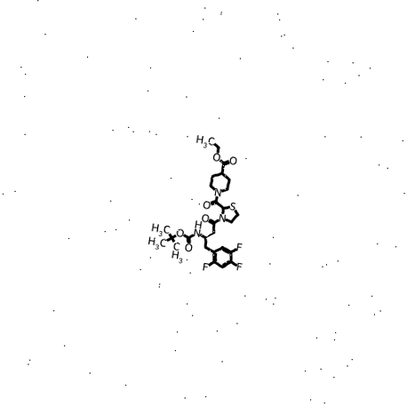 CCOC(=O)C1CCN(C(=O)C2SCCN2C(=O)C[C@@H](Cc2cc(F)c(F)cc2F)NC(=O)OC(C)(C)C)CC1